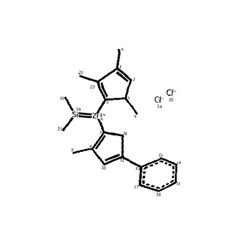 CC1=CC(C)[C]([Zr+2]([C]2=C(C)C=C(c3ccccc3)C2)=[Si](C)C)=C1C.[Cl-].[Cl-]